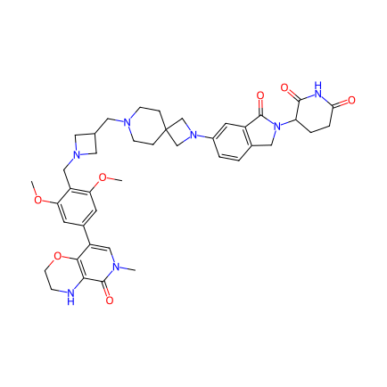 COc1cc(-c2cn(C)c(=O)c3c2OCCN3)cc(OC)c1CN1CC(CN2CCC3(CC2)CN(c2ccc4c(c2)C(=O)N(C2CCC(=O)NC2=O)C4)C3)C1